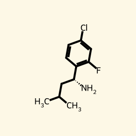 CC(C)C[C@@H](N)c1ccc(Cl)cc1F